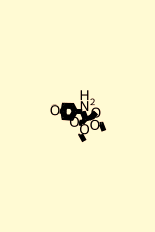 CCOC(=O)C(C(=O)OCC)=C(N)c1ccc(OC)cc1